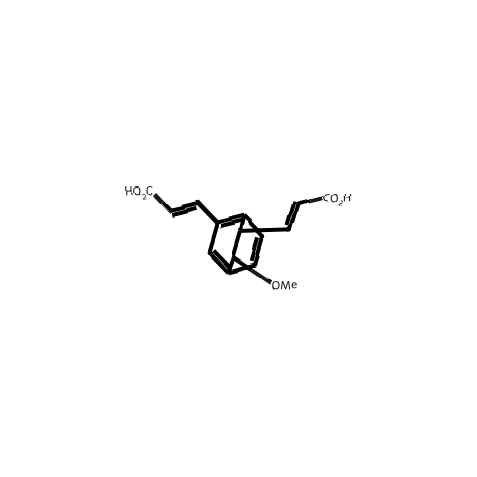 COC1c2ccc(c(/C=C/C(=O)O)c2)C1/C=C/C(=O)O